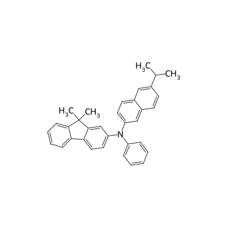 CC(C)c1ccc2cc(N(c3ccccc3)c3ccc4c(c3)C(C)(C)c3ccccc3-4)ccc2c1